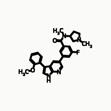 COc1ccccc1-c1c[nH]c2ncc(-c3cc(F)cc(C(=O)N(C)C4CCN(C)C4)c3)cc12